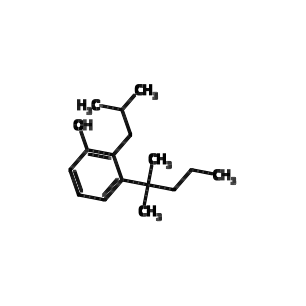 CCCC(C)(C)c1cccc(O)c1CC(C)C